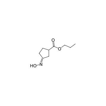 CCCOC(=O)C1CCC(=NO)C1